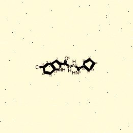 N=C(NNC(=O)c1cc2cc(Cl)ccc2[nH]1)c1ccccc1